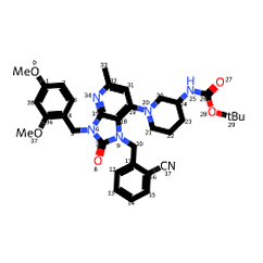 COc1ccc(Cn2c(=O)n(Cc3ccccc3C#N)c3c(N4CCCC(NC(=O)OC(C)(C)C)C4)cc(C)nc32)c(OC)c1